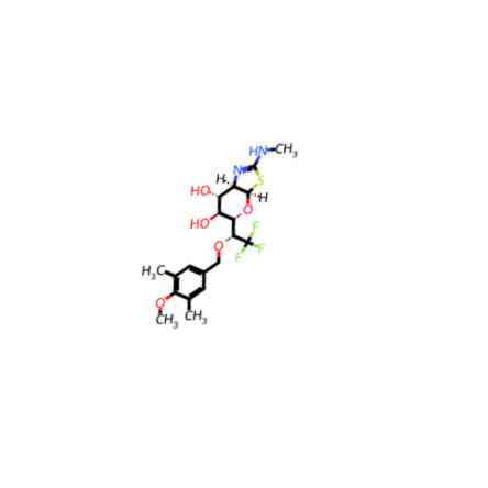 CNC1=N[C@@H]2[C@@H](O)[C@H](O)[C@@H]([C@@H](OCc3cc(C)c(OC)c(C)c3)C(F)(F)F)O[C@@H]2S1